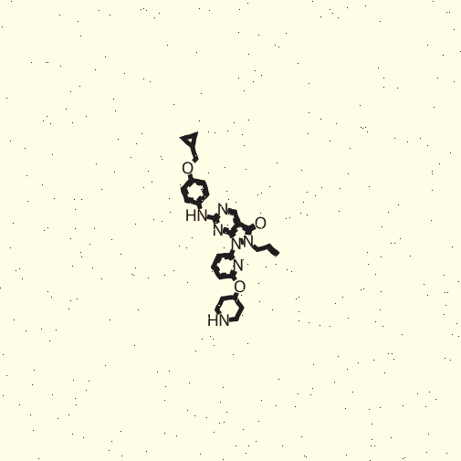 C=CCn1c(=O)c2cnc(Nc3ccc(OCC4CC4)cc3)nc2n1-c1cccc(OC2CCNCC2)n1